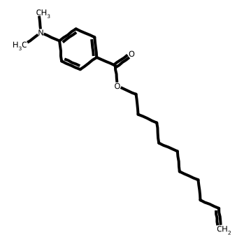 C=CCCCCCCCCOC(=O)c1ccc(N(C)C)cc1